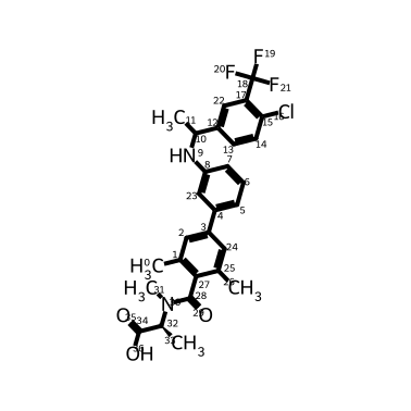 Cc1cc(-c2cccc(NC(C)c3ccc(Cl)c(C(F)(F)F)c3)c2)cc(C)c1C(=O)N(C)[C@@H](C)C(=O)O